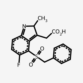 CC1N=c2ccc(F)c(S(=O)(=O)Cc3ccccc3)c2=C1CC(=O)O